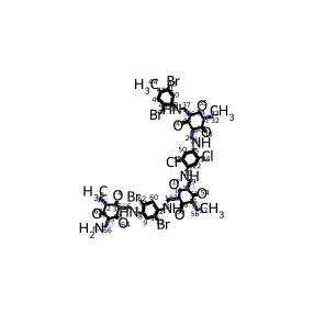 C/C=C1\C(=O)/C(=C/Nc2cc(Br)c(N/C=C3/C(=O)/C(=C\Nc4cc(Cl)c(N/C=C5\C(=O)/C(=C/C)C(=O)/C(=C/Nc6cc(Br)c(C)cc6Br)C5=O)cc4Cl)C(=O)/C(=C\C)C3=O)cc2Br)C(=O)/C(=C/N)C1=O